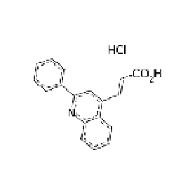 Cl.O=C(O)C=Cc1cc(-c2ccccc2)nc2ccccc12